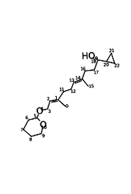 C/C(=C\COC1CCCCO1)CC/C=C(\C)CCC(O)C1CC1